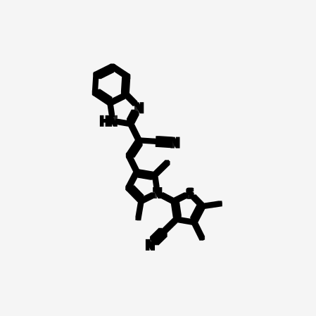 Cc1sc(-n2c(C)cc(C=C(C#N)c3nc4ccccc4[nH]3)c2C)c(C#N)c1C